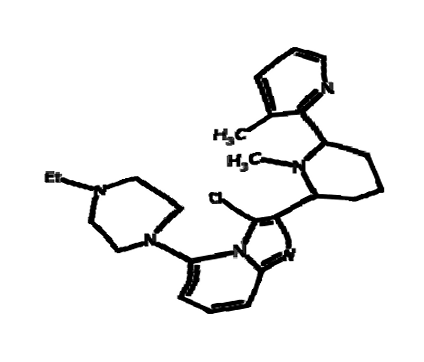 CCN1CCN(c2cccc3nc(C4CCCC(c5ncccc5C)N4C)c(Cl)n23)CC1